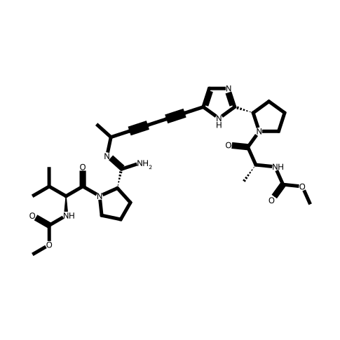 COC(=O)N[C@H](C(=O)N1CCC[C@H]1/C(N)=N/C(C)C#CC#Cc1cnc([C@@H]2CCCN2C(=O)[C@@H](C)NC(=O)OC)[nH]1)C(C)C